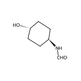 O=[C]N[C@H]1CC[C@H](O)CC1